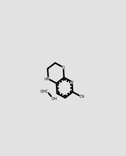 N#Cc1ccc2c(n1)OCCN2.O=CO